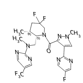 C[C@@H]1CC(F)(F)CN(C(=O)c2nn(C)cc2-c2ncc(F)cn2)[C@@H]1CN(C)c1ncc(C(F)(F)F)cn1